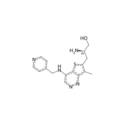 Cc1c(C[C@@H](N)CO)sc2c(NCc3ccncc3)cnnc12